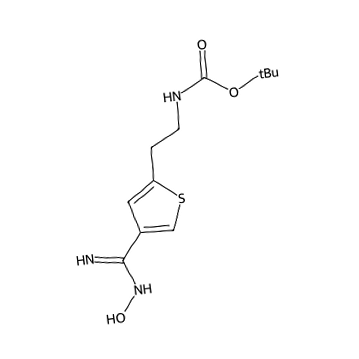 CC(C)(C)OC(=O)NCCc1cc(C(=N)NO)cs1